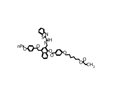 C=CC(=O)OCCCCCCOc1ccc(C(=O)Oc2c(/C=N/Nc3nc4ccccc4s3)cc(CC(=O)c3ccc(OCCC)cc3)c3ccccc23)cc1